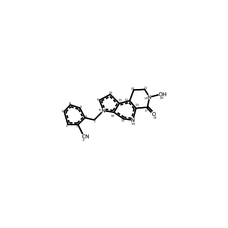 N#Cc1ccccc1Cn1ccc2c3c(ncc21)C(=O)N(O)CC3